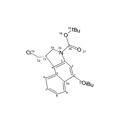 CC(C)COc1cc2c(c3ccccc13)[C@H](CCl)CN2C(=O)OC(C)(C)C